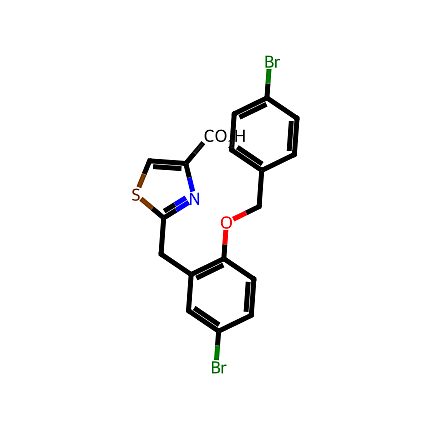 O=C(O)c1csc(Cc2cc(Br)ccc2OCc2ccc(Br)cc2)n1